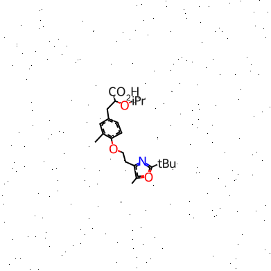 Cc1cc(CC(OC(C)C)C(=O)O)ccc1OCCc1nc(C(C)(C)C)oc1C